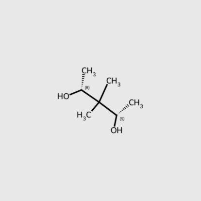 C[C@H](O)C(C)(C)[C@@H](C)O